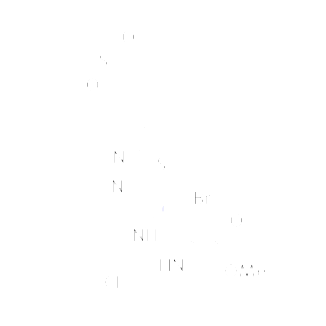 COC(=O)C(=N)/C(Br)=C(\Nc1ccccc1C(F)(F)F)c1nnc(-c2cccc(S(C)(=O)=O)c2)s1